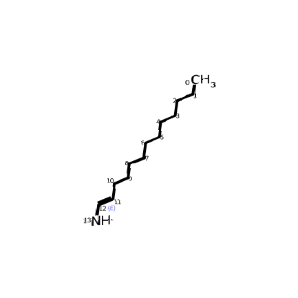 CCCCCCCCCCC/C=C/[NH]